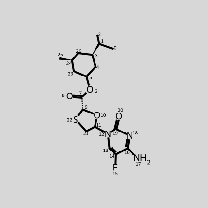 CC(C)[C@H]1CC(OC(=O)[C@@H]2OC(n3cc(F)c(N)nc3=O)CS2)C[C@@H](C)C1